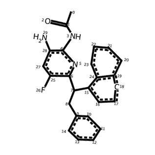 CC(=O)Nc1nc(C(Cc2ccccc2)c2cccc3ccccc23)c(F)cc1N